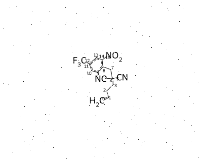 C=CCCC(C#N)(C#N)Cc1ccc(C(F)(F)F)cc1[N+](=O)[O-]